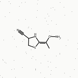 CC(ON)=C1NC(C#N)CS1